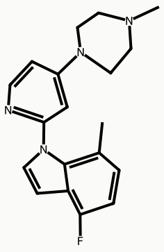 Cc1ccc(F)c2ccn(-c3cc(N4CCN(C)CC4)ccn3)c12